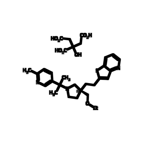 CCOC[C@@]1(CCc2cc3ncccc3s2)CCN(C(C)(C)c2ccc(C)nc2)C1.O=C(O)CC(O)(CC(=O)O)C(=O)O